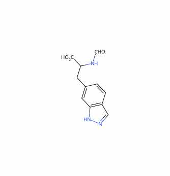 O=CNC(Cc1ccc2cn[nH]c2c1)C(=O)O